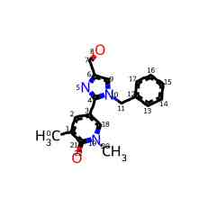 Cc1cc(-c2nc(C=O)cn2Cc2ccccc2)cn(C)c1=O